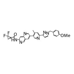 COc1ccc(Cn2ccc(-c3cc(C)c(-c4cnc5cc(NC(=O)[C@H]6CC6(F)F)ncc5c4)cn3)n2)cc1